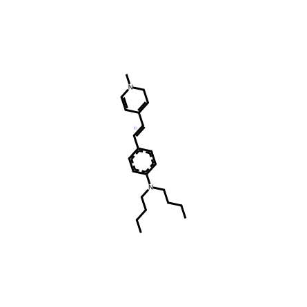 CCCCN(CCCC)c1ccc(/C=C/C2=CCN(C)C=C2)cc1